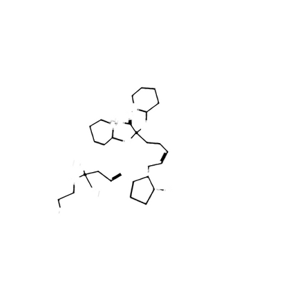 CCCOC(C)(C)C/C=C/[C@H]1CC[C@H](O)[C@@H]1C/C=C\CCC(OC1CCCCO1)(OC1CCCCO1)C(=O)O